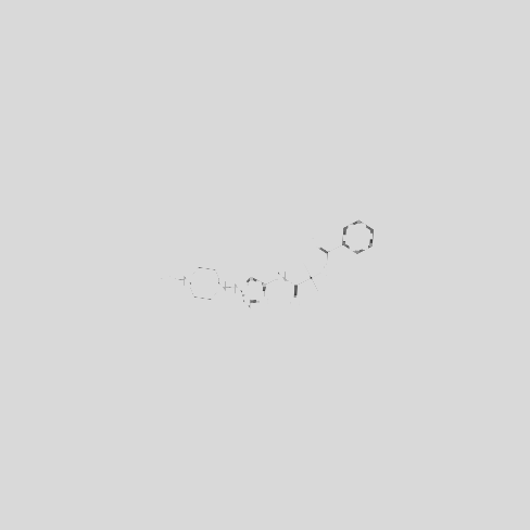 CC(C)N1CCN([n+]2cc([N-]C(=O)C(C)(C)SC(=O)c3ccccc3)on2)CC1